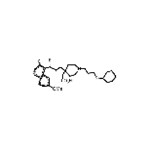 COc1ccc2ncc(Cl)c([C@H](F)CCC3(CC(=O)O)CCN(CCCSC4CCCCC4)CC3)c2c1